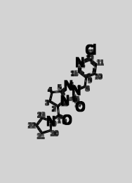 O=C(C1CCc2nn(Cc3ccc(Cl)nc3)c(=O)n21)N1CCCC1